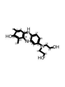 Cc1cc(Nc2ccc(N(CCO)CCO)cc2)c(N)c(C)c1O